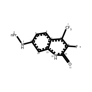 CCCNc1ccc2c(C(F)(F)F)c(F)c(=O)[nH]c2c1